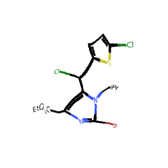 CCOC(=O)c1nc(Br)n(C(C)C)c1C(Cl)c1ccc(Cl)s1